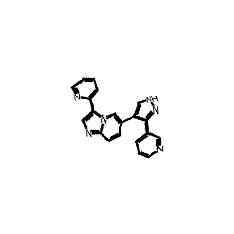 c1ccc(-c2cnc3ccc(-c4c[nH]nc4-c4cccnc4)cn23)nc1